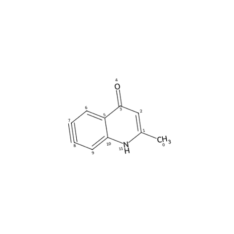 Cc1cc(=O)c2cc#ccc2[nH]1